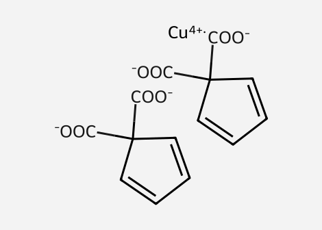 O=C([O-])C1(C(=O)[O-])C=CC=C1.O=C([O-])C1(C(=O)[O-])C=CC=C1.[Cu+4]